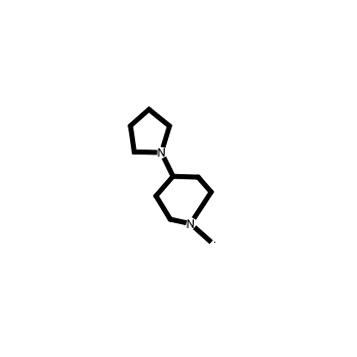 [CH2]N1CCC(N2CCCC2)CC1